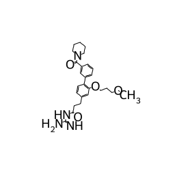 COCCCOc1cc(CCC(=O)NC(=N)N)ccc1-c1cccc(C(=O)N2CCCCC2)c1